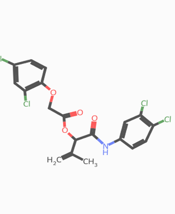 C=C(C)C(OC(=O)COc1ccc(Cl)cc1Cl)C(=O)Nc1ccc(Cl)c(Cl)c1